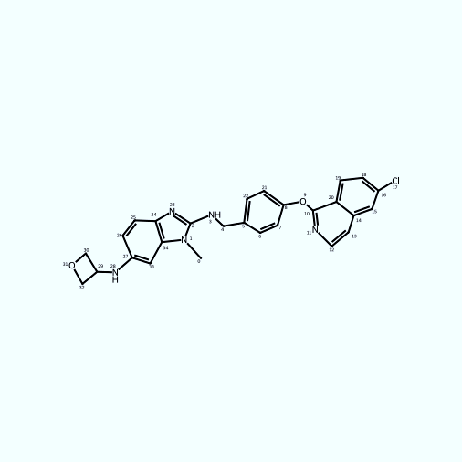 Cn1c(NCc2ccc(Oc3nccc4cc(Cl)ccc34)cc2)nc2ccc(NC3COC3)cc21